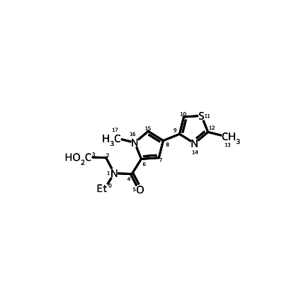 CCN(CC(=O)O)C(=O)c1cc(-c2csc(C)n2)cn1C